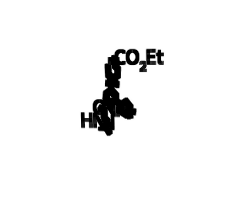 CCOC(=O)CN1CCN(C(C)(C)c2ccc(NC(=O)c3nc(C)c[nH]3)c(C3=CCC(C)(C)CC3)c2)CC1